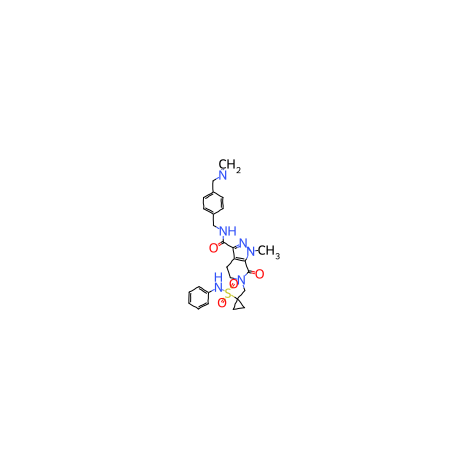 C=NCc1ccc(CNC(=O)c2nn(C)c3c2CCN(CC2(S(=O)(=O)Nc4ccccc4)CC2)C3=O)cc1